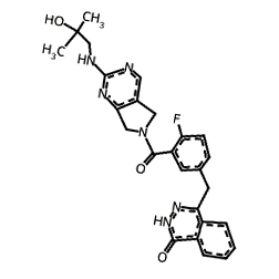 CC(C)(O)CNc1ncc2c(n1)CN(C(=O)c1cc(Cc3n[nH]c(=O)c4ccccc34)ccc1F)C2